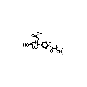 C=C(C)C(=O)Nc1ccc(C(=O)N(CC(=O)O)CC(=O)O)cc1